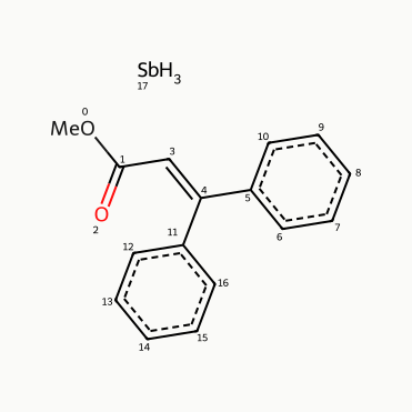 COC(=O)C=C(c1ccccc1)c1ccccc1.[SbH3]